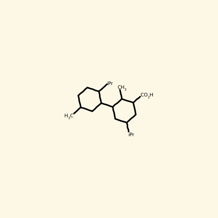 CC1CCC(C(C)C)C(C2CC(C(C)C)CC(C(=O)O)C2C)C1